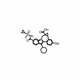 O=C(NS(=O)(=O)C1CC1)c1ccc2c(C3CCCCC3)c3n(c2c1)CC1(C(=O)O)CC1c1cc(O)ccc1-3